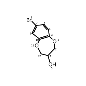 OC1COc2ccc(Br)cc2OC1